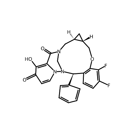 O=C1c2c(O)c(=O)ccn2N2CN1C[C@H]1C[C@@H]1COc1c(ccc(F)c1F)[C@H]2c1ccccc1